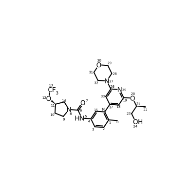 Cc1ccc(NC(=O)N2CC[C@@H](OC(F)(F)F)C2)cc1-c1cc(O[C@@H](C)CO)nc(N2CCOCC2)c1